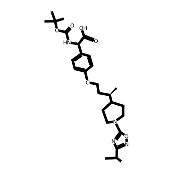 CC(C)c1noc(N2CCC([C@H](C)CCOc3ccc(C(NC(=O)OC(C)(C)C)C(=O)O)cc3)CC2)n1